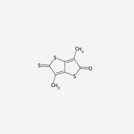 CC1=C2SC(=S)C(C)=C2SC1=O